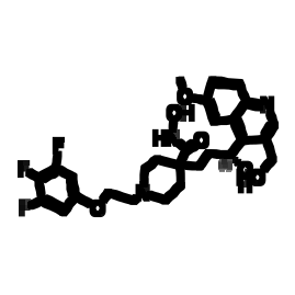 COc1ccc2ncc(CO)c([C@H](O)CCC3(C(=O)NO)CCN(CCOc4cc(F)c(F)c(F)c4)CC3)c2c1